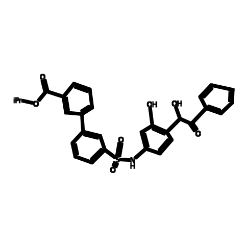 CC(C)OC(=O)c1cccc(-c2cccc(S(=O)(=O)Nc3ccc(C(O)C(=O)c4ccccc4)c(O)c3)c2)c1